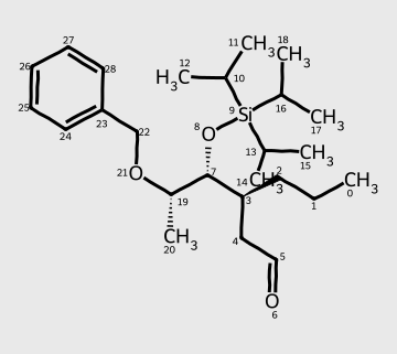 CCC[C@@H](CC=O)[C@@H](O[Si](C(C)C)(C(C)C)C(C)C)[C@H](C)OCc1ccccc1